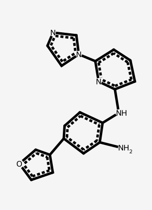 Nc1cc(-c2ccoc2)ccc1Nc1cccc(-n2ccnc2)n1